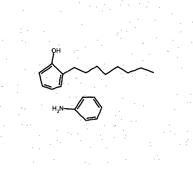 CCCCCCCCc1ccccc1O.Nc1ccccc1